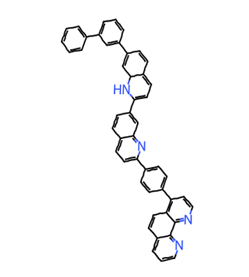 C1=CC2=CC=C(c3ccc4ccc(-c5ccc(-c6ccnc7c6ccc6cccnc67)cc5)nc4c3)NC2C=C1c1cccc(-c2ccccc2)c1